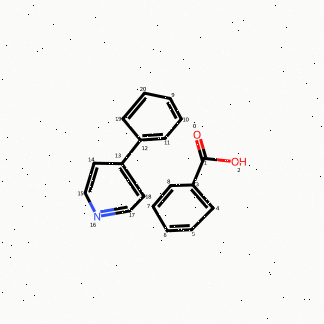 O=C(O)c1ccccc1.c1ccc(-c2ccncc2)cc1